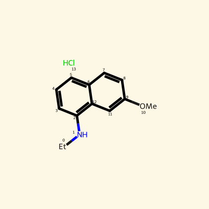 CCNc1cccc2ccc(OC)cc12.Cl